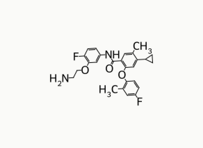 Cc1cc(F)ccc1Oc1cc(C2CC2)c(C)cc1C(=O)Nc1ccc(F)c(OCCN)c1